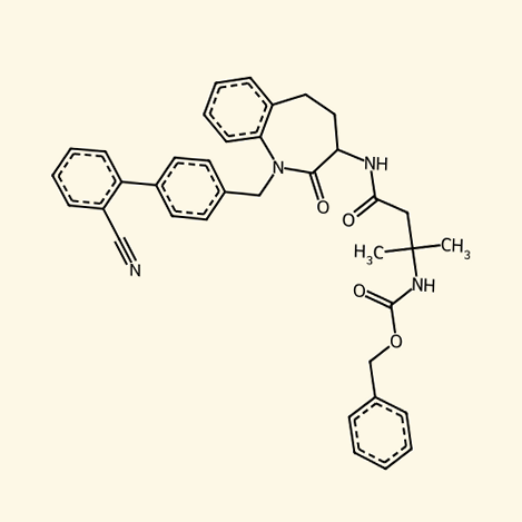 CC(C)(CC(=O)NC1CCc2ccccc2N(Cc2ccc(-c3ccccc3C#N)cc2)C1=O)NC(=O)OCc1ccccc1